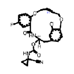 N#CC1(NC(=O)O[C@H]2Cc3ccc(c(Cl)c3)OC/C=C/COc3ccc(F)cc3C(=O)N2)CC1